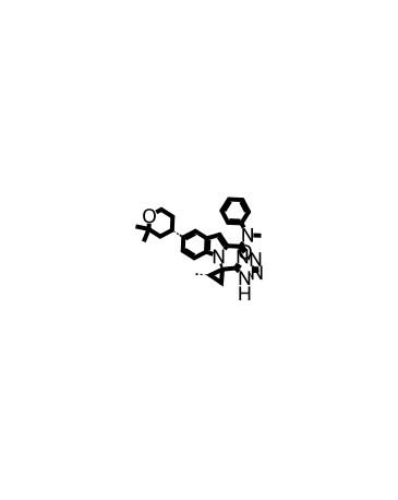 C[C@H]1C[C@]1(c1nnn[nH]1)n1c(C(=O)N(C)c2ccccc2)cc2cc([C@H]3CCOC(C)(C)C3)ccc21